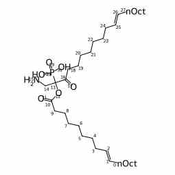 CCCCCCCCC=CCCCCCCCC(=O)OC(CN)(C(=O)CCCCCCCC=CCCCCCCCC)P(=O)(O)O